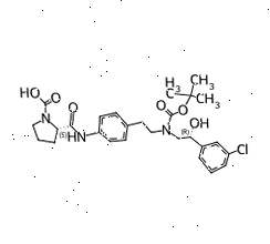 CC(C)(C)OC(=O)N(CCc1ccc(NC(=O)[C@@H]2CCCN2C(=O)O)cc1)C[C@H](O)c1cccc(Cl)c1